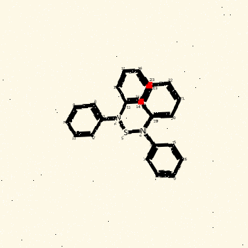 c1ccc(N(SN(c2ccccc2)c2ccccc2)c2ccccc2)cc1